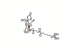 CC1(C)O[C@@H]2C[C@H]3[C@@H]4C[C@H](F)C5=CC(=O)C=C[C@]5(C)[C@H]4[C@@H](O)C[C@]3(C)[C@]2(C(=O)COC(=O)CCNC(=O)CCCCCON(O)O)O1